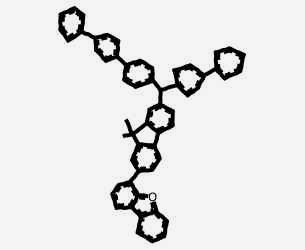 CC1(C)c2cc(-c3cccc4c3oc3ccccc34)ccc2-c2ccc(C(c3ccc(-c4ccccc4)cc3)c3ccc(-c4ccc(-c5ccccc5)cc4)cc3)cc21